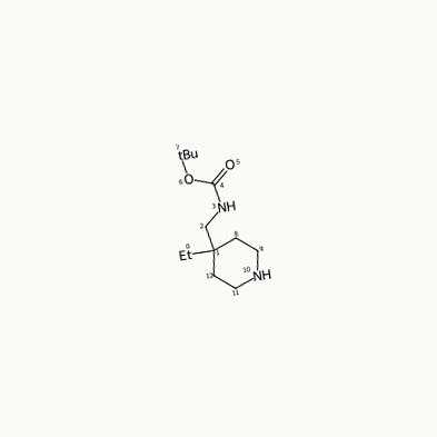 CCC1(CNC(=O)OC(C)(C)C)CCNCC1